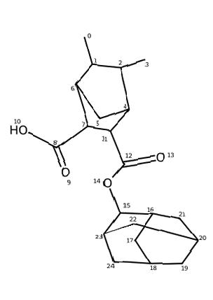 CC1C(C)C2CC1C(C(=O)O)C2C(=O)OC1C2CC3CC(C2)CC1C3